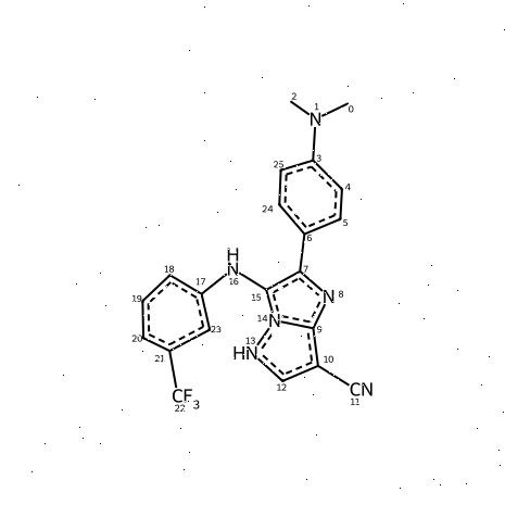 CN(C)c1ccc(-c2nc3c(C#N)c[nH]n3c2Nc2cccc(C(F)(F)F)c2)cc1